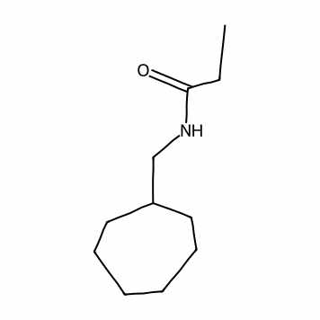 CCC(=O)NCC1CCCCCC1